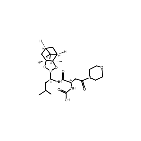 CC(C)C[C@H](NC(=O)[C@@H](CC(=O)N1CCOCC1)NC(=O)O)B1O[C@H]2C[C@H]3C[C@H](C3(C)C)[C@@]2(C)O1